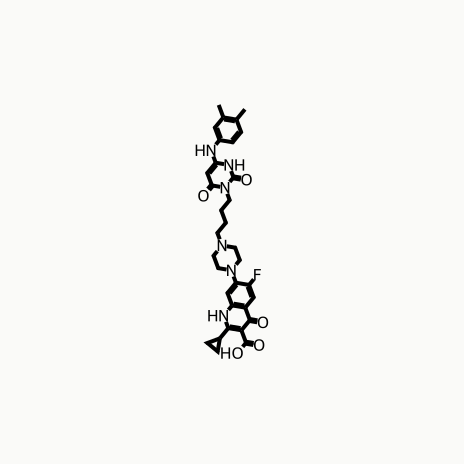 Cc1ccc(Nc2cc(=O)n(CCCCN3CCN(c4cc5[nH]c(C6CC6)c(C(=O)O)c(=O)c5cc4F)CC3)c(=O)[nH]2)cc1C